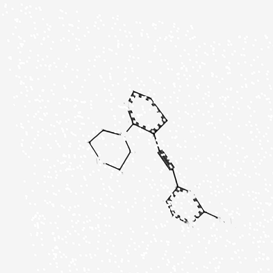 Nc1nccc(C#Cc2cccnc2N2CCNCC2)n1